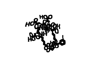 O=C(O)CC[C@@H](NC(=O)CCCCC(=O)ON1C(=O)CCC1=O)C(=O)N[C@H](CCC(=O)O)C(=O)N[C@H](CCC(=O)O)C(=O)N[C@H](CCCCNC(=O)c1cccc(I)c1)C(=O)O